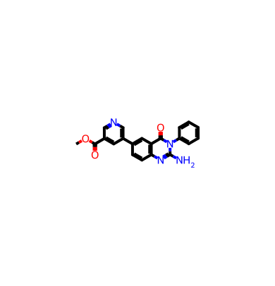 COC(=O)c1cncc(-c2ccc3nc(N)n(-c4ccccc4)c(=O)c3c2)c1